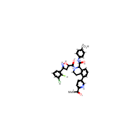 CNC(=O)c1ccc(-c2cccc3c2CCN(C(=O)C2CC(c4cccc(Cl)c4F)=NO2)C3C(=O)Nc2ccc(C(=O)O)cc2)cn1